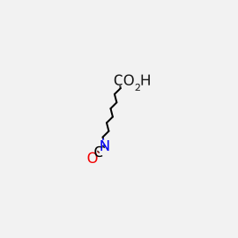 O=C=NCCCCCCCCC(=O)O